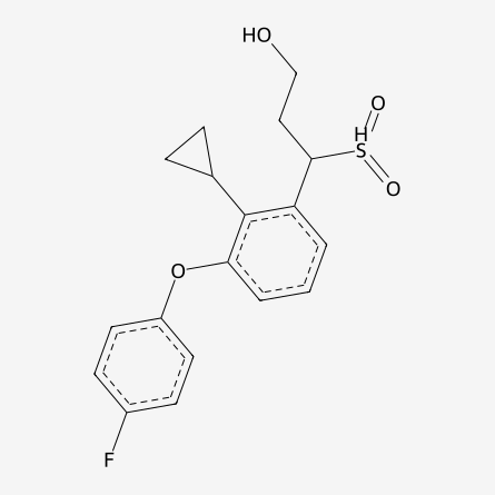 O=[SH](=O)C(CCO)c1cccc(Oc2ccc(F)cc2)c1C1CC1